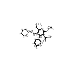 CCc1nc(CC)c(C(=O)O)c(-c2ccc(F)cc2)c1COC1CCCCO1